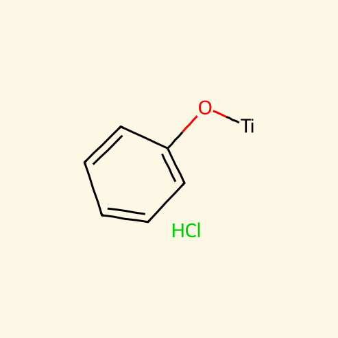 Cl.[Ti][O]c1ccccc1